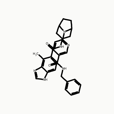 Cc1c(C(=O)NC2CC3CCC(C2)N3c2ccc(C(=O)NCc3ccccc3)cn2)ccc2[nH]cnc12